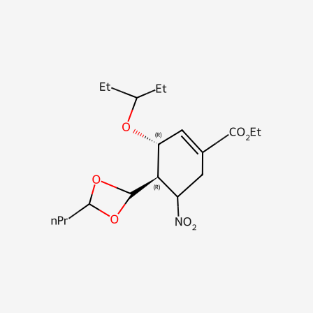 CCCC1OC([C@@H]2C([N+](=O)[O-])CC(C(=O)OCC)=C[C@H]2OC(CC)CC)O1